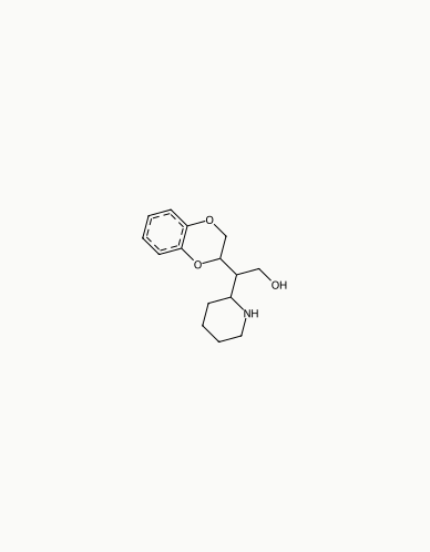 OCC(C1CCCCN1)C1COc2ccccc2O1